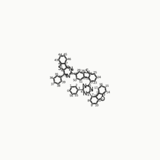 c1ccc(-c2nc(-c3cccc4oc5ccccc5c34)nc(-c3cccc4sc5cc(-c6nc(-c7ccccc7)c7sc8ccccc8c7n6)ccc5c34)n2)cc1